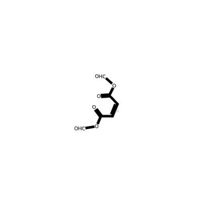 O=COC(=O)/C=C\C(=O)OC=O